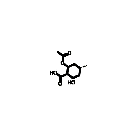 CC(=O)OC1C[C@H](C)CCC1C(=O)O.Cl